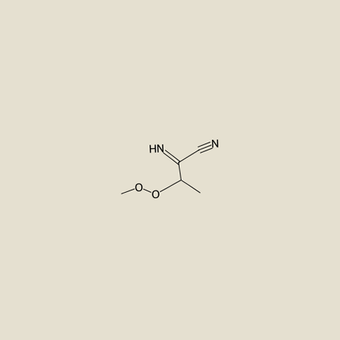 COOC(C)C(=N)C#N